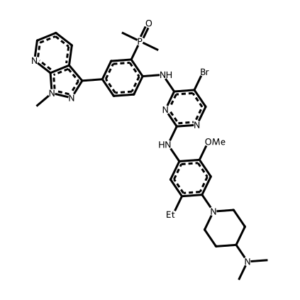 CCc1cc(Nc2ncc(Br)c(Nc3ccc(-c4nn(C)c5ncccc45)cc3P(C)(C)=O)n2)c(OC)cc1N1CCC(N(C)C)CC1